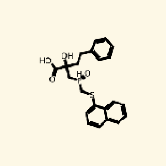 O=C(O)C(O)(CCc1ccccc1)C[PH](=O)CSc1cccc2ccccc12